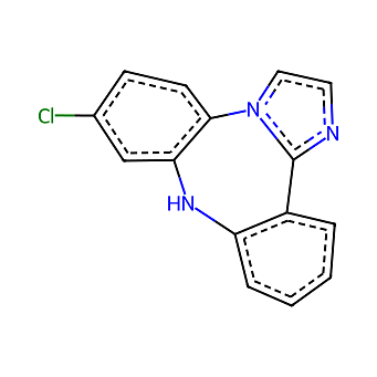 Clc1ccc2c(c1)Nc1ccccc1-c1nccn1-2